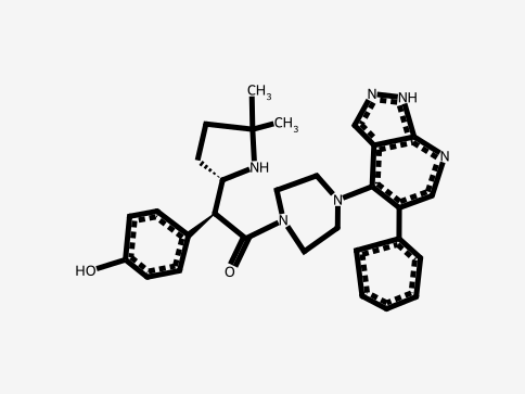 CC1(C)CC[C@@H]([C@@H](C(=O)N2CCN(c3c(-c4ccccc4)cnc4[nH]ncc34)CC2)c2ccc(O)cc2)N1